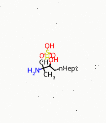 CCCCCCCCC(O)C(C)(C)N.O=[SH](=O)O